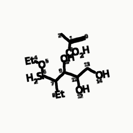 C=C(C)C(=O)O.CCO[SiH2]C(CC)C(O)C(O)CO